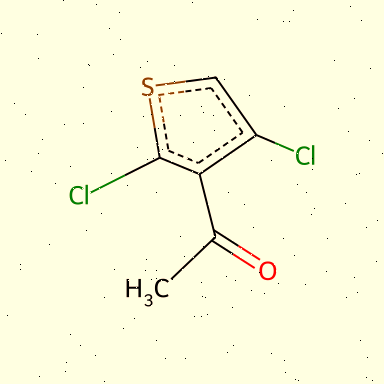 CC(=O)c1c(Cl)csc1Cl